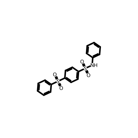 O=S(=O)(Nc1ccccc1)c1ccc(S(=O)(=O)c2ccccc2)cc1